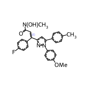 COc1ccc(-n2nc(/C(=C/C(=O)N(C)O)c3ccc(F)cc3)cc2-c2ccc(C)cc2)cc1